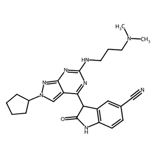 CN(C)CCCNc1nc(C2C(=O)Nc3ccc(C#N)cc32)c2cn(C3CCCC3)nc2n1